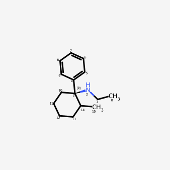 CCN[C@]1(c2ccccc2)CCCCC1C